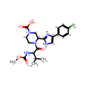 COC(=O)NC(C(=O)N1CCN(C(=O)O)CC1c1nc(-c2ccc(Br)cc2)c[nH]1)C(C)C